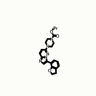 CC(C)OC(=O)N1CCN(c2ccc3ncc(-c4cccc5c4OCC5)n3n2)CC1